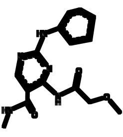 CNC(=O)c1cnc(Nc2ccccc2)nc1NC(=O)COC